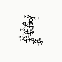 O=S(=O)(O)CC(F)(F)C(F)(F)F.O=S(=O)(O)CC(F)(F)C(F)(F)F.O=S(=O)(O)CC(F)(F)C(F)(F)F.O=S(=O)(O)CC(F)(F)C(F)(F)F.OCC(CO)(CO)CO